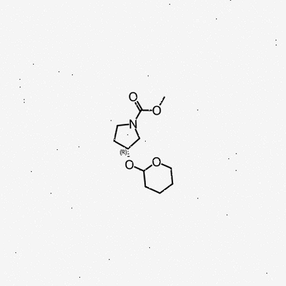 COC(=O)N1CC[C@@H](OC2CCCCO2)C1